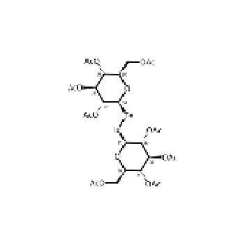 CC(=O)OC[C@H]1O[C@@H]([Te][Te][C@@H]2O[C@H](COC(C)=O)[C@@H](OC(C)=O)[C@H](OC(C)=O)[C@H]2OC(C)=O)[C@H](OC(C)=O)[C@@H](OC(C)=O)[C@@H]1OC(C)=O